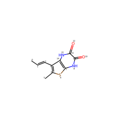 CC=Cc1c(C)sc2[nH]c(=O)c(=O)[nH]c12